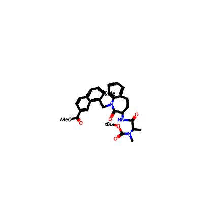 COC(=O)c1ccc2ccc(OC)c(CN3C(=O)C(NC(=O)C(C)N(C)C(=O)OC(C)(C)C)CCc4ccccc43)c2c1